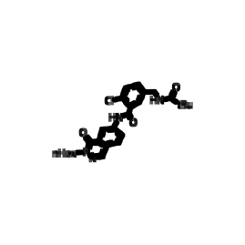 CCCCCCn1ncc2ccc(NC(=O)c3cc(CNC(=O)C(C)(C)C)ccc3Cl)cc2c1=O